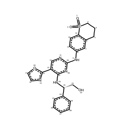 O=S1(=O)CCCc2cc(Nc3ncc(-c4ncco4)c(N[C@H](CO)c4ccccc4)n3)ccc21